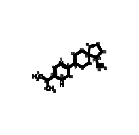 CC(C)C1=CN=C(N2CCC3(CCC[C@@H]3N)CC2)CN1